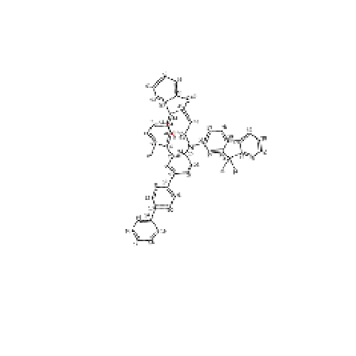 Cc1ccccc1-c1cc(-c2ccc(-c3ccccc3)cc2)ccc1N(c1ccc2c(c1)C(C)(C)c1ccccc1-2)c1ccc2c(c1)sc1ccccc12